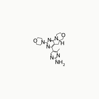 Cc1nc(N)ncc1-c1nc(N2CCOCC2)nc2c1C[C@H]1COCCN21